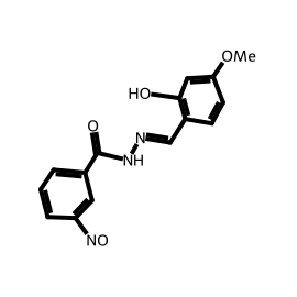 COc1ccc(/C=N/NC(=O)c2cccc(N=O)c2)c(O)c1